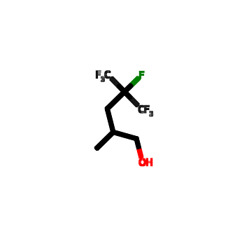 CC(CO)CC(F)(C(F)(F)F)C(F)(F)F